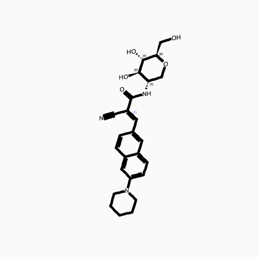 N#C/C(=C\c1ccc2cc(N3CCCCC3)ccc2c1)C(=O)N[C@H]1CO[C@H](CO)[C@@H](O)[C@@H]1O